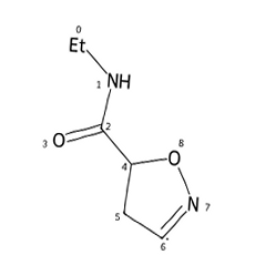 CCNC(=O)C1C[C]=NO1